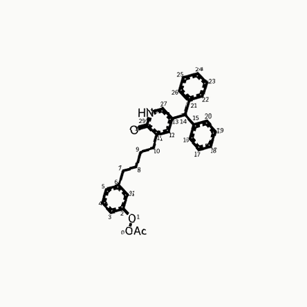 CC(=O)OOc1cccc(CCCCc2cc(C(c3ccccc3)c3ccccc3)c[nH]c2=O)c1